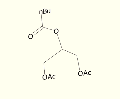 CCCCC(=O)OC(COC(C)=O)COC(C)=O